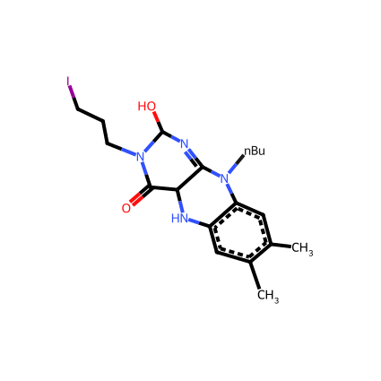 CCCCN1C2=NC(O)N(CCCI)C(=O)C2Nc2cc(C)c(C)cc21